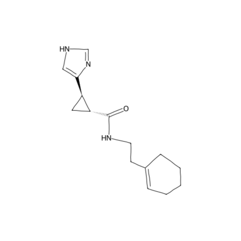 O=C(NCCC1=CCCCC1)[C@@H]1C[C@H]1c1c[nH]cn1